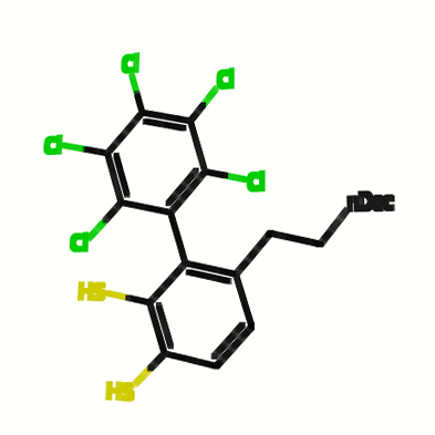 CCCCCCCCCCCCc1ccc(S)c(S)c1-c1c(Cl)c(Cl)c(Cl)c(Cl)c1Cl